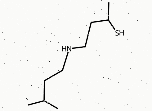 CC(C)CCNCCC(C)S